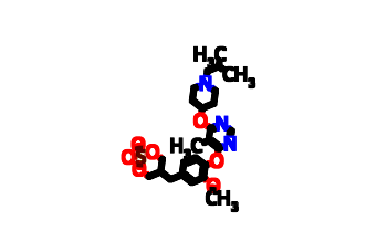 COc1cc(CC2COS(=O)(=O)OC2)ccc1Oc1ncnc(OC2CCN(CC(C)C)CC2)c1C